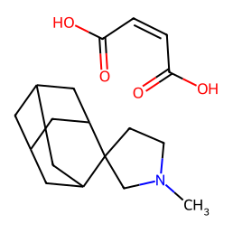 CN1CCC2(C1)C1CC3CC(C1)CC2C3.O=C(O)/C=C\C(=O)O